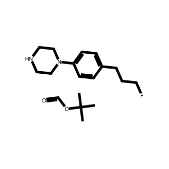 CC(C)(C)OC=O.FCCCc1ccc(N2CCNCC2)cc1